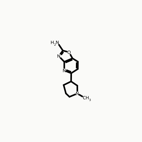 CN1CCCC(c2ccc3oc(N)nc3n2)C1